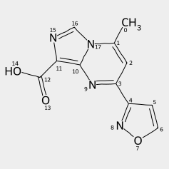 Cc1cc(-c2ccon2)nc2c(C(=O)O)ncn12